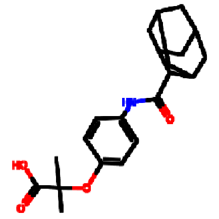 CC(C)(Oc1ccc(NC(=O)C2C3CC4CC(C3)CC2C4)cc1)C(=O)O